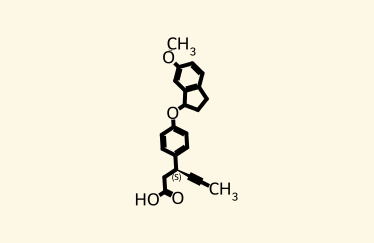 CC#C[C@@H](CC(=O)O)c1ccc(OC2CCc3ccc(OC)cc32)cc1